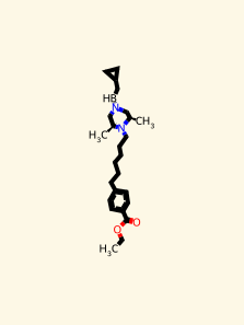 CCOC(=O)c1ccc(CCCCCCN2[C@H](C)CN(BCC3CC3)C[C@@H]2C)cc1